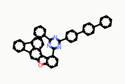 c1ccc(-c2ccc(-c3ccc(-c4nc(-c5ccccc5)nc(-c5cccc6oc7cc8c9c(cccc9c7c56)-c5ccccc5-8)n4)cc3)cc2)cc1